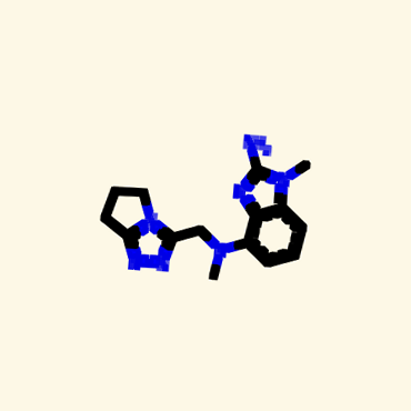 CN(Cc1nnc2n1CCC2)c1cccc2c1nc(N)n2C